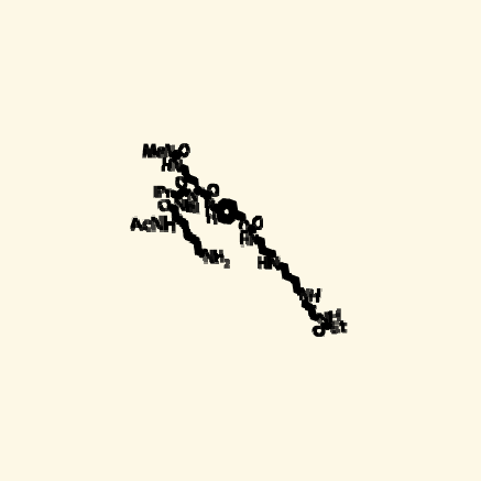 CCC(=O)NCCCNCCCCNCCCNC(=O)OCc1ccc(NC(=O)[C@H](CCCNC(=O)NC)NC(=O)C(NC(=O)[C@H](CCCCN)NC(C)=O)C(C)C)cc1